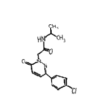 CC(C)NC(=O)Cn1nc(-c2ccc(Cl)cc2)ccc1=O